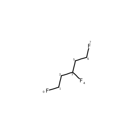 FCCC(F)CCF